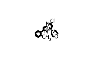 Cc1ccccc1-c1cc2nc(Cl)cc(N3CCOCC3)n2n1